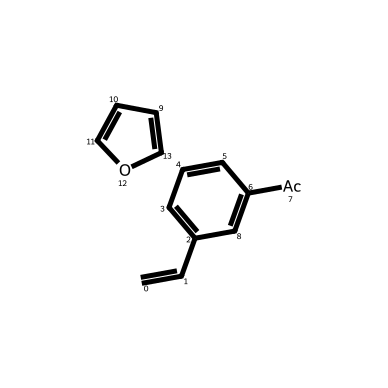 C=Cc1cccc(C(C)=O)c1.c1ccoc1